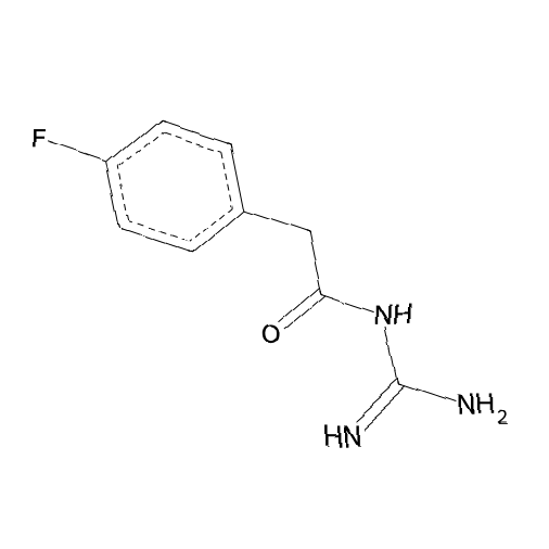 N=C(N)NC(=O)Cc1ccc(F)cc1